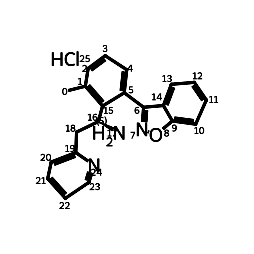 Cc1cccc(-c2noc3ccccc23)c1[C@@H](N)Cc1ccccn1.Cl